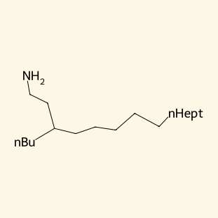 CCCCCCCCCCCCC(CCN)CCCC